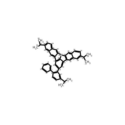 CC(C)c1ccc(-c2ccccc2)c(-c2cc3c4cc5cc(C(C)C)ccc5cc4n4c5cc6ccc(C(C)C)cc6cc5c(c2)c34)c1